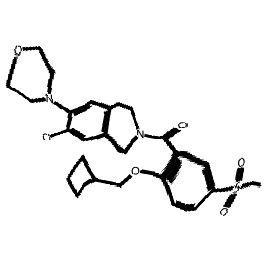 CS(=O)(=O)c1ccc(OCC2CCC2)c(C(=O)N2Cc3cc(Cl)c(N4CCOCC4)cc3C2)c1